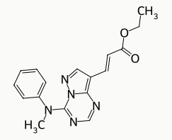 CCOC(=O)C=Cc1cnn2c(N(C)c3ccccc3)ncnc12